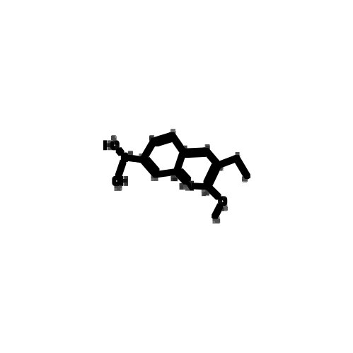 CCc1cc2ccc(B(O)O)cc2nc1OC